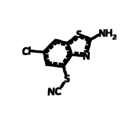 N#CSc1cc(Cl)cc2sc(N)nc12